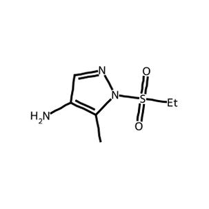 CCS(=O)(=O)n1ncc(N)c1C